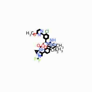 COc1ccnc(-c2cc([C@@H](COC(=O)NC3CC3)N3C(=N)N[C@](CC(C)(C)C)(C4(C)C=CC(c5cnn(C(F)F)c5)=CC4)C3=O)ccc2Cl)n1